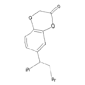 CC(C)CC(c1ccc2c(c1)OC(=O)CO2)C(C)C